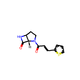 O=C1NC2CCN(C(=O)/C=C/c3cccs3)[C@H]12